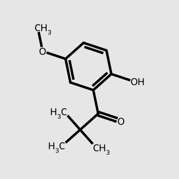 COc1ccc(O)c(C(=O)C(C)(C)C)c1